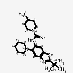 CC1CCN(C(=S)Nc2cc3sc(C(C)(C)C)nc3cc2N2CCCCC2)CC1